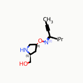 CC#C/C(=N\O[C@H]1CN[C@H](CO)C1)C(C)C